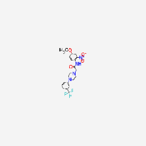 COc1ccc(NC(=O)CN2CCN(c3cccc(C(F)(F)F)c3)CC2)c([N+](=O)[O-])c1